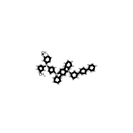 COc1cccc(N(c2ccc(-n3c4ccccc4c4cc5c(cc43)c3ccccc3n5-c3cccc(-c4ccc(-c5ccccc5)cc4)c3)cc2)c2cccc(C)c2)c1